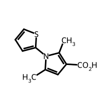 Cc1cc(C(=O)O)c(C)n1-c1cccs1